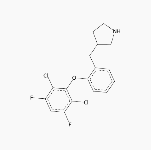 Fc1cc(F)c(Cl)c(Oc2ccccc2CC2CCNC2)c1Cl